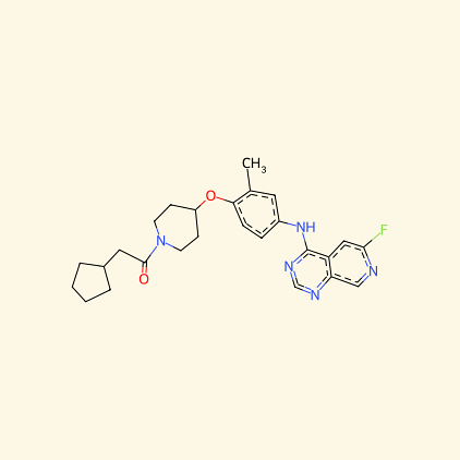 Cc1cc(Nc2ncnc3cnc(F)cc23)ccc1OC1CCN(C(=O)CC2CCCC2)CC1